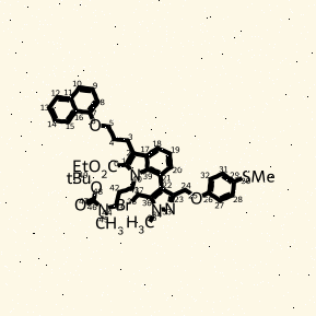 CCOC(=O)c1c(CCCOc2cccc3ccccc23)c2cccc(-c3c(COc4ccc(SC)cc4)nn(C)c3CBr)c2n1CCCN(C)C(=O)OC(C)(C)C